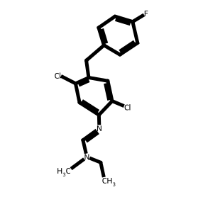 CCN(C)C=Nc1cc(Cl)c(Cc2ccc(F)cc2)cc1Cl